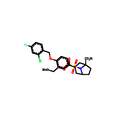 CCOC(=O)C12CCC(CN(C(=O)OCCOC)C1)N2S(=O)(=O)c1ccc(OCc2ccc(F)cc2Cl)cc1